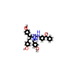 COc1ccc(CCC(C)(Cc2ccc(OC)cc2)c2nc(Nc3cccc(C(=O)c4ccccc4)c3)nn2Cc2ccc(OC)cc2)cc1